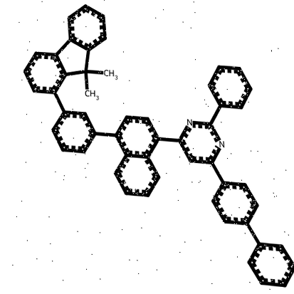 CC1(C)c2ccccc2-c2cccc(-c3cccc(-c4ccc(-c5cc(-c6ccc(-c7ccccc7)cc6)nc(-c6ccccc6)n5)c5ccccc45)c3)c21